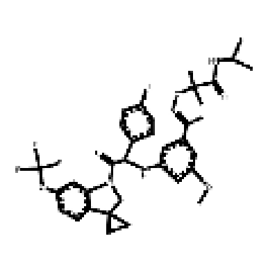 COc1cc(NC(C(=O)N2CC3(CC3)c3ccc(OC(F)(F)F)cc32)c2ccc(Cl)cc2)cc(C(C)=NOC(C)(C)C(=O)NC(C)C)c1